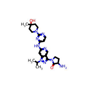 CC(C)n1nc(N2CCC(N)C2=O)c2cnc(Nc3ccnc(N4CCC(C)(O)CC4)n3)cc21